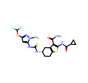 COC(=O)c1c(NC(=O)C2CC2)sc2c1C[C@@H](NC(=S)Nc1cc(OC(F)F)nn1C)CC2